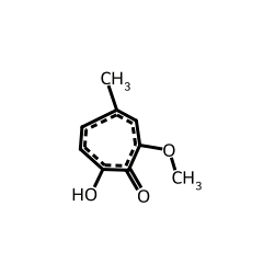 COc1cc(C)ccc(O)c1=O